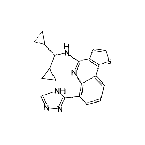 c1cc(-c2nnc[nH]2)c2nc(NC(C3CC3)C3CC3)c3ccsc3c2c1